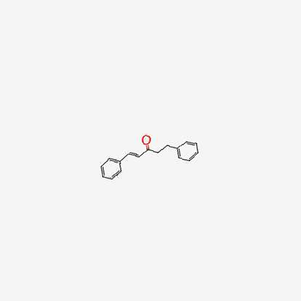 O=C(C=Cc1ccccc1)CCc1ccccc1